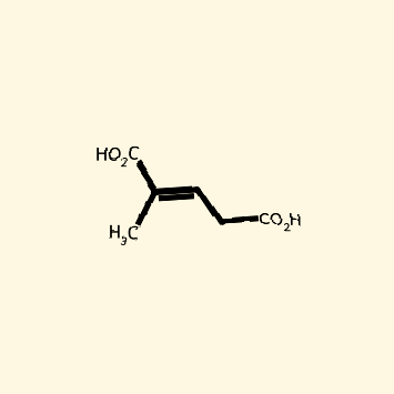 CC(=CCC(=O)O)C(=O)O